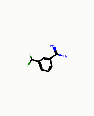 N=C(N)c1cccc(C(F)F)c1